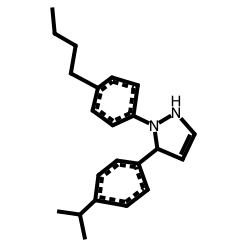 CCCCc1ccc(N2NC=CC2c2ccc(C(C)C)cc2)cc1